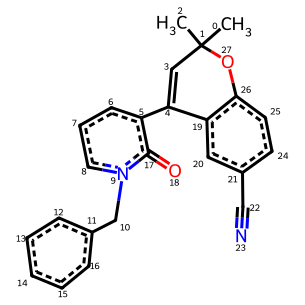 CC1(C)C=C(c2cccn(Cc3ccccc3)c2=O)c2cc(C#N)ccc2O1